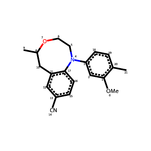 COc1cc(N2CCOC(C)Cc3cc(C#N)ccc32)ccc1C